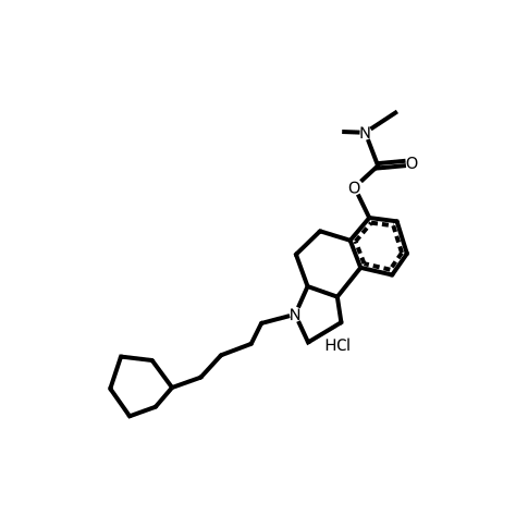 CN(C)C(=O)Oc1cccc2c1CCC1C2CCN1CCCCC1CCCCC1.Cl